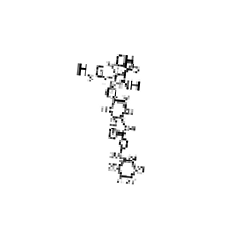 CCC1(CC)C(=O)N[C@@H]1Oc1ccc(CC(=O)OCc2ccccc2)cc1